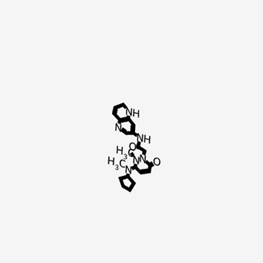 CN(C1CCCC1)C1C=CC(=O)N(CC(=O)Nc2cnc3c(c2)NCC=C3)N1C